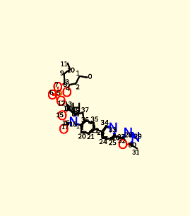 CCCCOP(=O)(OCCCC)OC[C@@H]1OC(=O)N2c3ccc(-c4ccc(-c5nnc(C)o5)nc4)cc3C[C@@H]12